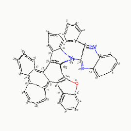 c1ccc(-c2nc3ccccc3nc2-n2c3ccccc3c3c4c5ccccc5c5ccccc5c4c4c5ccccc5oc4c32)cc1